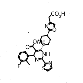 COC(=O)C1=C([C@H]2CC[C@H](c3nc(CC(=O)O)co3)CC2)NC(c2nccs2)=NC1c1cccc(F)c1C